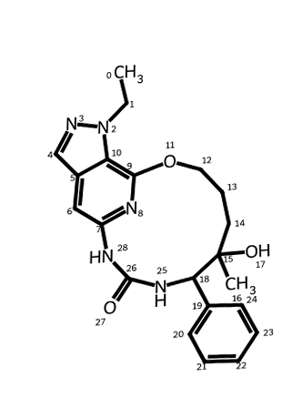 CCn1ncc2cc3nc(c21)OCCCC(C)(O)C(c1ccccc1)NC(=O)N3